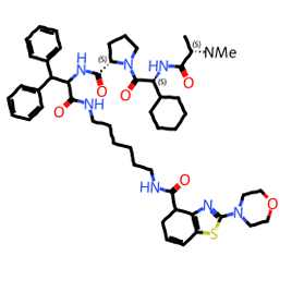 CN[C@@H](C)C(=O)N[C@H](C(=O)N1CCC[C@H]1C(=O)NC(C(=O)NCCCCCCNC(=O)C1CC=Cc2sc(N3CCOCC3)nc21)C(c1ccccc1)c1ccccc1)C1CCCCC1